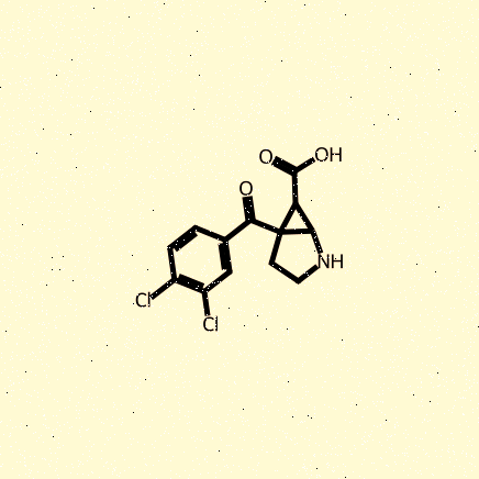 O=C(O)C1C2NCCC21C(=O)c1ccc(Cl)c(Cl)c1